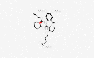 C=CCOC(=O)N1c2cc(OC)c(OC)cc2C(=O)N2CC[C@H](OCCCC(=O)OC)[C@H]2C1OC1CCCCO1